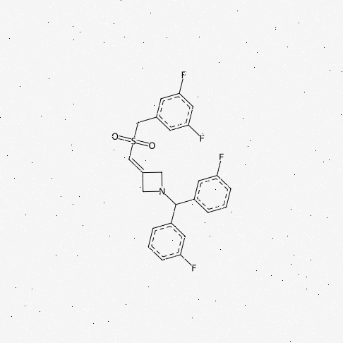 O=S(=O)(C=C1CN(C(c2cccc(F)c2)c2cccc(F)c2)C1)Cc1cc(F)cc(F)c1